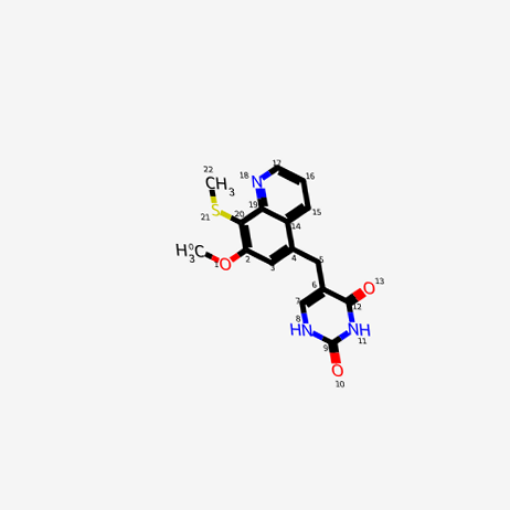 COc1cc(Cc2c[nH]c(=O)[nH]c2=O)c2cccnc2c1SC